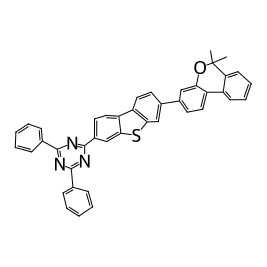 CC1(C)Oc2cc(-c3ccc4c(c3)sc3cc(-c5nc(-c6ccccc6)nc(-c6ccccc6)n5)ccc34)ccc2-c2ccccc21